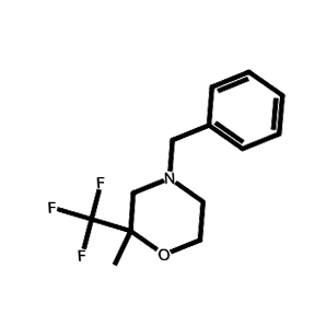 CC1(C(F)(F)F)CN(Cc2ccccc2)CCO1